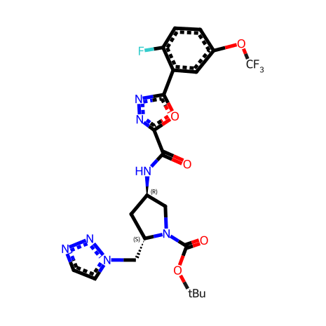 CC(C)(C)OC(=O)N1C[C@H](NC(=O)c2nnc(-c3cc(OC(F)(F)F)ccc3F)o2)C[C@H]1Cn1ccnn1